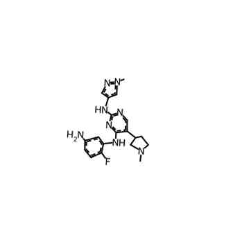 CN1CCC(c2cnc(Nc3cnn(C)c3)nc2Nc2cc(N)ccc2F)C1